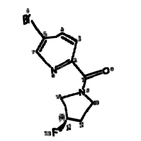 O=C(c1ccc(Br)cn1)N1CC[C@@H](F)C1